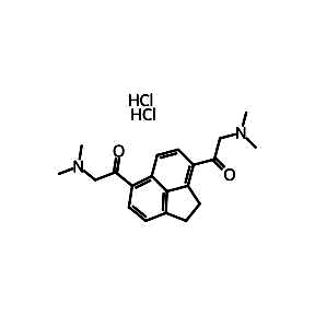 CN(C)CC(=O)c1ccc2c(C(=O)CN(C)C)ccc3c2c1CC3.Cl.Cl